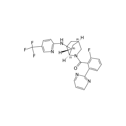 O=C(c1c(F)cccc1-c1ncccn1)N1C[C@@H]2CC[C@H]1[C@H](Nc1ccc(C(F)(F)F)cn1)C2